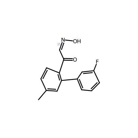 Cc1ccc(C(=O)/C=N\O)c(-c2cccc(F)c2)c1